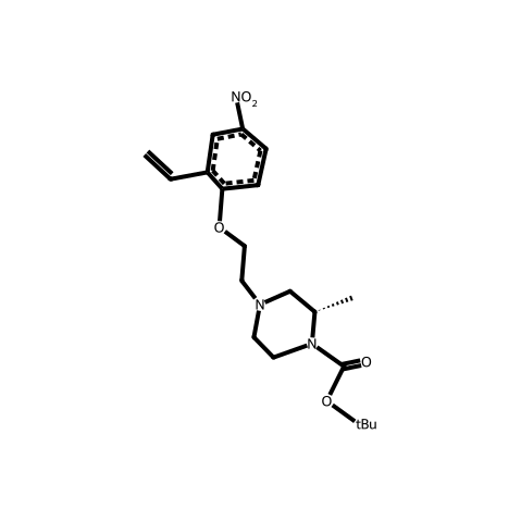 C=Cc1cc([N+](=O)[O-])ccc1OCCN1CCN(C(=O)OC(C)(C)C)[C@@H](C)C1